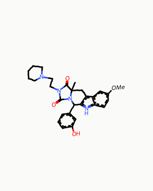 COc1ccc2[nH]c3c(c2c1)CC1(C)C(=O)N(CCN2CCCCC2)C(=O)N1C3c1cccc(O)c1